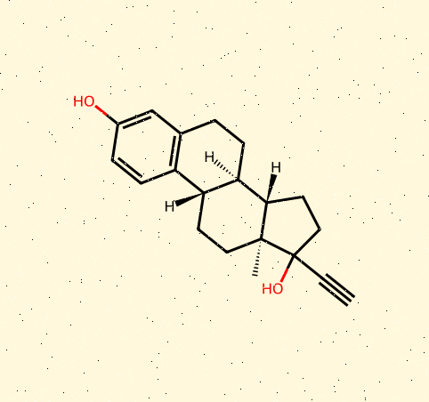 C#CC1(O)CC[C@H]2[C@@H]3CCc4cc(O)ccc4[C@H]3CC[C@@]21C